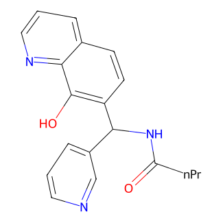 CCCC(=O)NC(c1cccnc1)c1ccc2cccnc2c1O